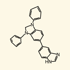 c1ccc(N2CN(c3ccccc3)c3cc(-c4ccc5[nH]cnc5c4)ccc32)cc1